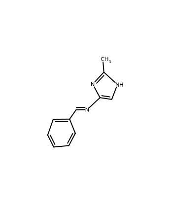 Cc1nc(N=Cc2ccccc2)c[nH]1